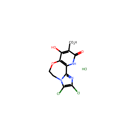 Cl.O=C(O)c1c(O)c2c([nH]c1=O)-c1nc(Cl)c(Cl)n1CCO2